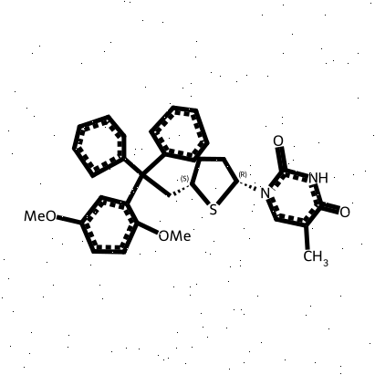 COc1ccc(OC)c(C(C[C@@H]2CC[C@H](n3cc(C)c(=O)[nH]c3=O)S2)(c2ccccc2)c2ccccc2)c1